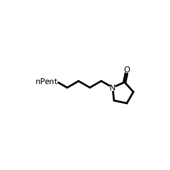 CCCCCCCCCN1CCCC1=O